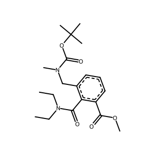 CCN(CC)C(=O)c1c(CN(C)C(=O)OC(C)(C)C)cccc1C(=O)OC